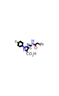 CC(C)CC(=O)Nc1nc2c(s1)c(C(=O)O)nn2-c1ccc(F)cc1